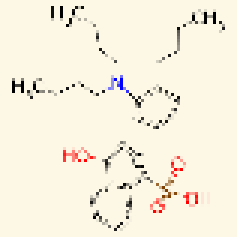 CCCCc1ccccc1N(CCCC)CCCC.O=S(=O)(O)c1ccc(O)c2ccccc12